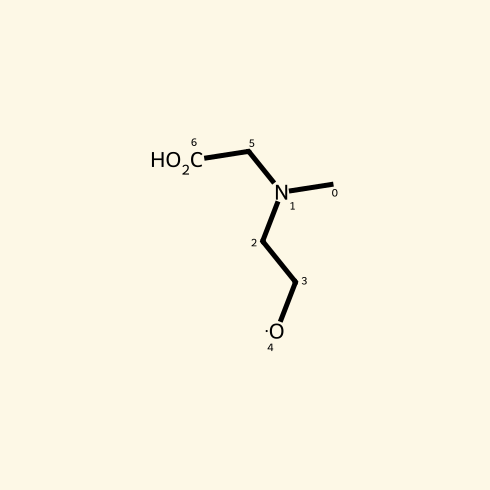 CN(CC[O])CC(=O)O